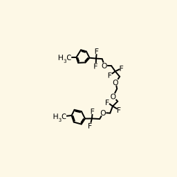 Cc1ccc(C(F)(F)COCC(F)(F)COCOCC(F)(F)COCC(F)(F)c2ccc(C)cc2)cc1